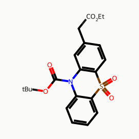 CCOC(=O)Cc1ccc2c(c1)N(C(=O)OC(C)(C)C)c1ccccc1S2(=O)=O